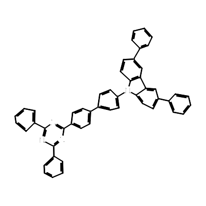 c1ccc(-c2ccc3c(c2)c2cc(-c4ccccc4)ccc2n3-c2ccc(-c3ccc(-c4nc(-c5ccccc5)nc(-c5ccccc5)n4)cc3)cc2)cc1